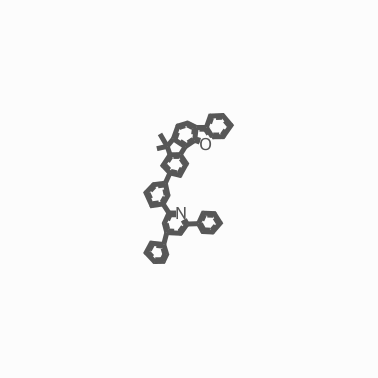 CC1(C)c2cc(-c3cccc(-c4cc(-c5ccccc5)cc(-c5ccccc5)n4)c3)ccc2-c2c1ccc1c2oc2ccccc21